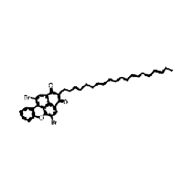 CCCCCCCCCCCCCCCCCCCCC1C(=O)c2cc(Br)c3c4c(c(Br)cc(c24)C1=O)-c1ccccc1O3